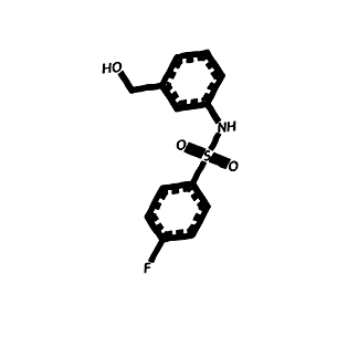 O=S(=O)(Nc1cccc(CO)c1)c1ccc(F)cc1